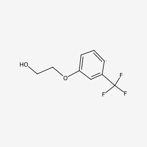 OCCOc1cc[c]c(C(F)(F)F)c1